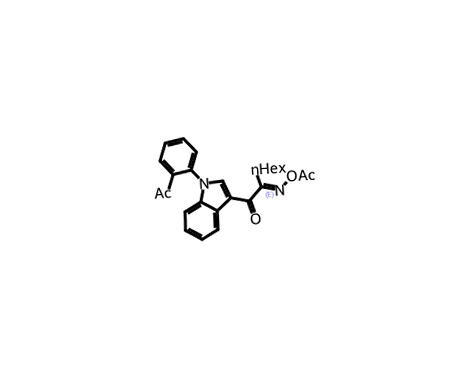 CCCCCC/C(=N\OC(C)=O)C(=O)c1cn(-c2ccccc2C(C)=O)c2ccccc12